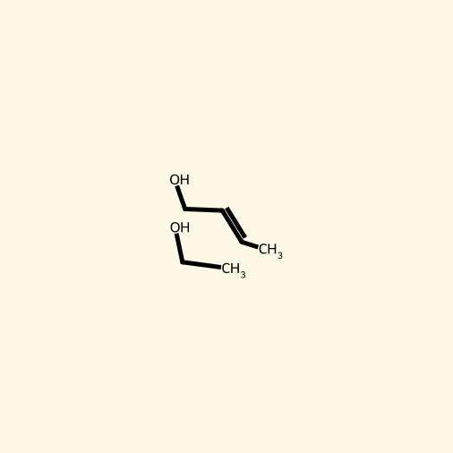 CC=CCO.CCO